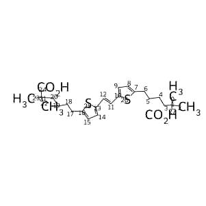 CC(C)(CCCCc1ccc(C=Cc2ccc(CCCCC(C)(C)C(=O)O)s2)s1)C(=O)O